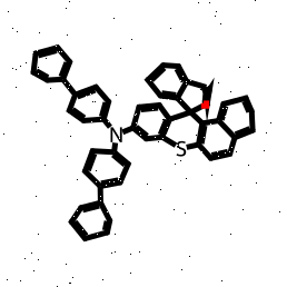 c1ccc(-c2ccc(N(c3ccc(-c4ccccc4)cc3)c3ccc4c(c3)Sc3ccc5ccccc5c3C43c4ccccc4-c4ccccc43)cc2)cc1